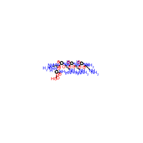 COc1ccc(NC(=O)[C@H](CCCNC(=N)N)NC(=O)c2cc(NC(=O)[C@H](CCCNC(=N)N)NC(=O)c3cc(NC(=O)[C@@H](N)CCCNCN)ccc3OC)ccc2OC)cc1C(=O)N[C@@H](CCCNC(=N)N)C(=O)Nc1ccc(OCC(=O)O)c(C(N)=O)c1